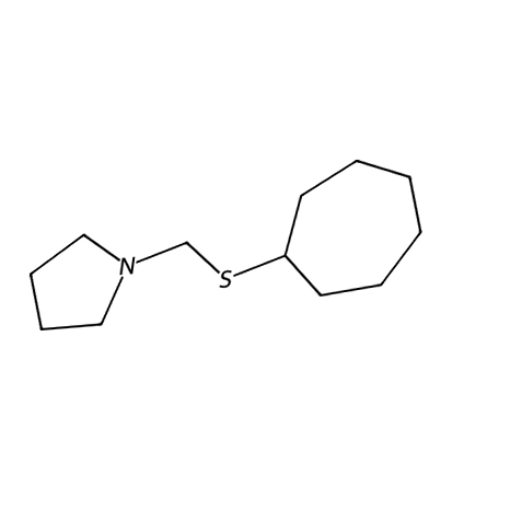 C1CCCC(SCN2CCCC2)CC1